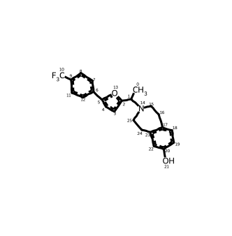 CC(c1ccc(-c2ccc(C(F)(F)F)cc2)o1)N1CCc2ccc(O)cc2CC1